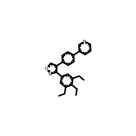 CCc1cc(-c2nocc2-c2ccc(-c3cccnc3)cc2)cc(CC)c1CC